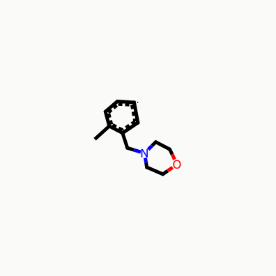 Cc1cc[c]cc1CN1CCOCC1